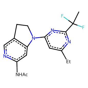 CCc1cc(N2CCc3cnc(NC(C)=O)cc32)nc(C(C)(F)F)n1